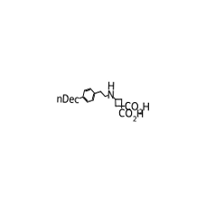 CCCCCCCCCCc1ccc(CCNC2CC(C(=O)O)(C(=O)O)C2)cc1